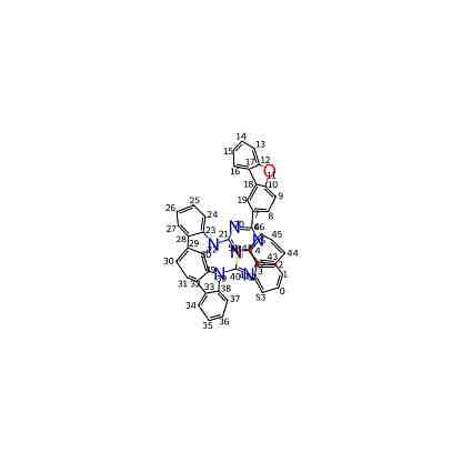 c1ccc(-c2nc(-c3ccc4oc5ccccc5c4c3)nc(-n3c4ccccc4c4ccc5c6ccccc6n(-c6nc7ccccc7s6)c5c43)n2)cc1